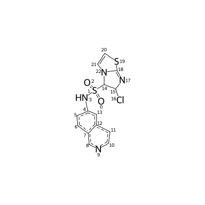 O=S(=O)(Nc1ccc2cnccc2c1)C1C(Cl)N=C2SC=CN21